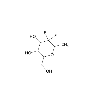 CC1OC(CO)C(O)C(O)C1(F)F